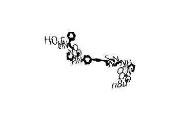 CCCCOC(=O)N1CCC[C@H]1C(=O)Nc1cn2cc(C#Cc3ccc(NC(=O)[C@@H]4CCCN4C(=O)[C@H](NC(=O)O)c4ccccc4)cc3)sc2n1